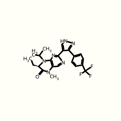 CC[C@@H]1C(=O)N(C)c2cnc(-c3c[nH]nc3-c3ccc(C(F)(F)F)cc3)nc2N1C(C)C